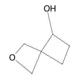 OC1CCC12COC2